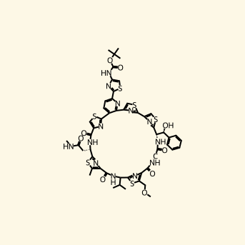 CNC(=O)C[C@@H]1NC(=O)c2csc(n2)-c2ccc(-c3nc(NC(=O)OC(C)(C)C)cs3)nc2-c2csc(n2)-c2csc(n2)[C@H]([C@@H](O)c2ccccc2)NC(=O)CNC(=O)c2nc(sc2COC)C(C(C)C)NC(=O)c2nc1sc2C